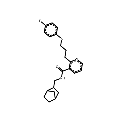 O=C(NCC1CC2CCC1C2)c1cccnc1CCCSc1ccc(F)cc1